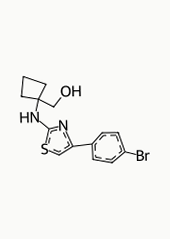 OCC1(Nc2nc(-c3ccc(Br)cc3)cs2)CCC1